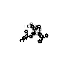 O=c1cc2n(cc1O)CC(Cc1ccccc1)N(Cc1c(Cl)cccc1Cl)C2.O=c1cc2n(cc1O)CC(Cc1ccccc1)N(Cc1ccccc1)C2.O=c1cc2n(cc1O)CC(c1ccccc1)N(Cc1ccccc1)C2